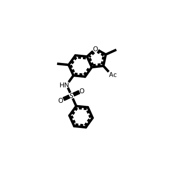 CC(=O)c1c(C)oc2cc(C)c(NS(=O)(=O)c3ccccc3)cc12